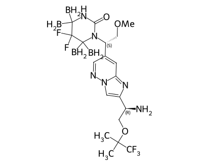 BC1(B)NC(=O)N([C@H](COC)c2cnn3cc([C@@H](N)COC(C)(C)C(F)(F)F)nc3c2)C(B)(B)C1(F)F